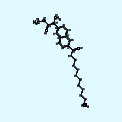 CCCCCCCCCCCC(=O)c1ccc2cc(N(C)C(=O)OC)ccc2c1